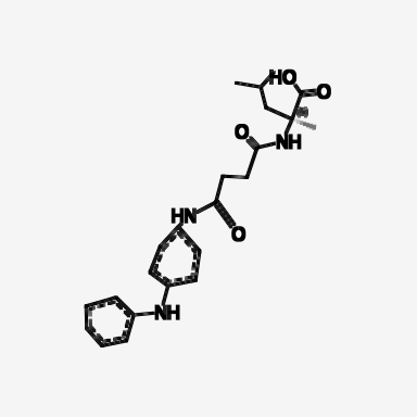 CC(C)C[C@](C)(NC(=O)CCC(=O)Nc1ccc(Nc2ccccc2)cc1)C(=O)O